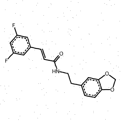 O=C(C=Cc1cc(F)cc(F)c1)NCCc1ccc2c(c1)OCO2